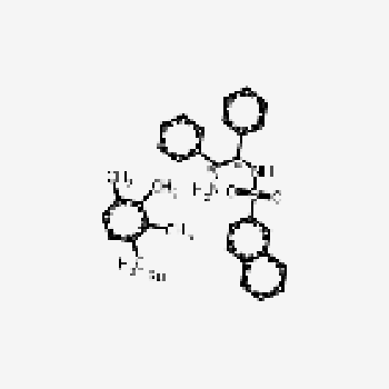 Cc1ccc(C)c(C)c1C.N[C@H](c1ccccc1)[C@H](NS(=O)(=O)c1ccc2ccccc2c1)c1ccccc1.[Ru]